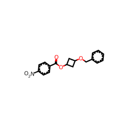 O=C(OC1CC(OCc2ccccc2)C1)c1ccc([N+](=O)[O-])cc1